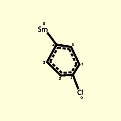 Clc1cc[c]([Sm])cc1